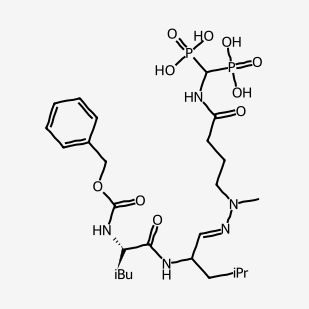 CC[C@H](C)[C@H](NC(=O)OCc1ccccc1)C(=O)NC(/C=N/N(C)CCCC(=O)NC(P(=O)(O)O)P(=O)(O)O)CC(C)C